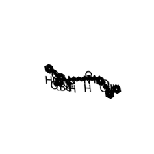 CC(C)(C)[Si](C)(C)O[C@@H](CNCCCCCNC(=O)CCN1CCC(OC(=O)Nc2ccccc2-c2ccccc2)CC1)c1ccc(OCc2ccccc2)c2[nH]c(=O)ccc12